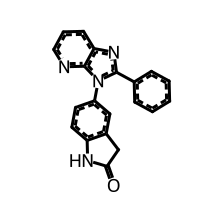 O=C1Cc2cc(-n3c(-c4ccccc4)nc4cccnc43)ccc2N1